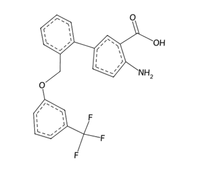 Nc1ccc(-c2ccccc2COc2cccc(C(F)(F)F)c2)cc1C(=O)O